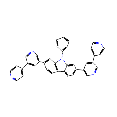 c1ccc(-n2c3cc(-c4cncc(-c5ccncc5)c4)ccc3c3ccc(-c4cncc(-c5ccncc5)c4)cc32)cc1